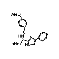 CCCCCC[C@@H](NCc1ccc(OC)cc1)c1nc(-c2ccccc2)c[nH]1